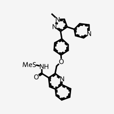 CSNC(=O)c1cc2ccccc2nc1COc1ccc(-c2nn(C)cc2-c2ccncc2)cc1